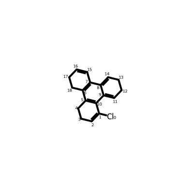 ClC1=CCCc2c3c(c4c(c21)=CCCC=4)C=CCC3